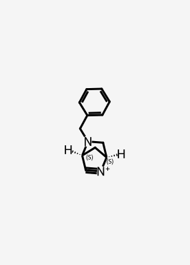 C1#[N+][C@H]2C[C@@H]1N(Cc1ccccc1)C2